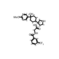 COc1ncc(C2(O)CCC([C@]3(NC(=O)CNC(=O)c4cccc(C(F)(F)F)c4)CCNC3)CC2)cn1